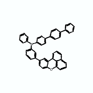 c1ccc(-c2ccc(-c3ccc(N(c4ccccc4)c4cccc(-c5ccc6c(c5)-c5cccc7cccc(c57)O6)c4)cc3)cc2)cc1